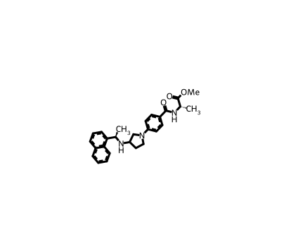 COC(=O)[C@H](C)NC(=O)c1ccc(N2CCC(N[C@H](C)c3cccc4ccccc34)C2)cc1